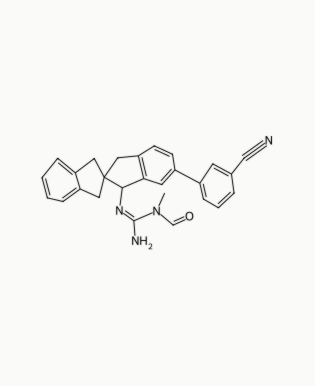 CN(C=O)/C(N)=N\C1c2cc(-c3cccc(C#N)c3)ccc2CC12Cc1ccccc1C2